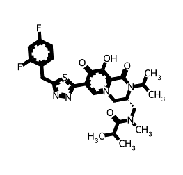 CC(C)C(=O)N(C)C[C@@H]1Cn2cc(-c3nnc(Cc4ccc(F)cc4F)s3)c(=O)c(O)c2C(=O)N1C(C)C